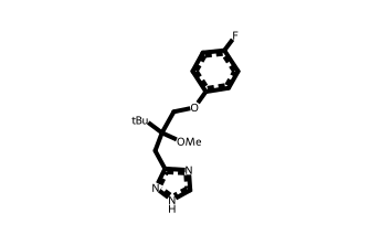 COC(COc1ccc(F)cc1)(Cc1nc[nH]n1)C(C)(C)C